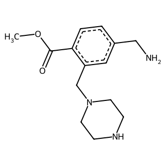 COC(=O)c1ccc(CN)cc1CN1CCNCC1